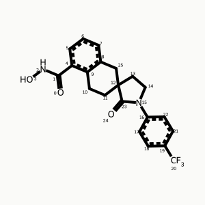 O=C(NO)c1cccc2c1CCC1(CCN(c3ccc(C(F)(F)F)cc3)C1=O)C2